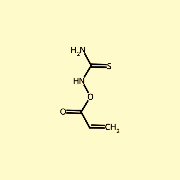 C=CC(=O)ONC(N)=S